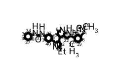 CCn1cc(-c2ccnc3[nH]c(-c4cc(CN(C)C)ccc4C)cc23)c(-c2ccc(NC(=O)Nc3ccccc3)cc2)n1